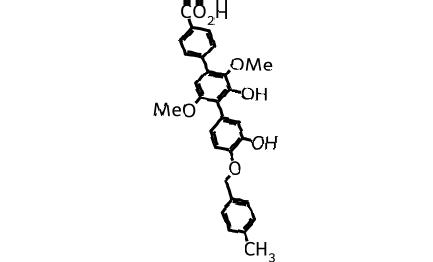 COc1cc(-c2ccc(C(=O)O)cc2)c(OC)c(O)c1-c1ccc(OCc2ccc(C)cc2)c(O)c1